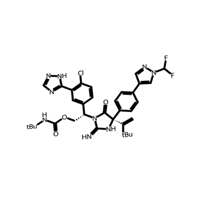 C=C(C(C)(C)C)[C@]1(c2ccc(-c3cnn(C(F)F)c3)cc2)NC(=N)N([C@H](COC(=O)NC(C)(C)C)c2ccc(Cl)c(-c3ncn[nH]3)c2)C1=O